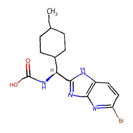 CC1CCC([C@H](NC(=O)O)c2nc3nc(Br)ccc3[nH]2)CC1